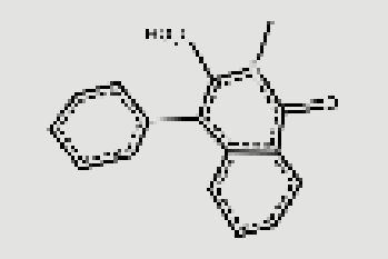 Cn1c(C(=O)O)c(-c2ccccc2)c2ccccc2c1=O